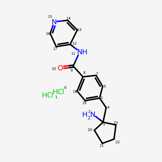 Cl.Cl.NC1(Cc2ccc(C(=O)Nc3ccncc3)cc2)CCCC1